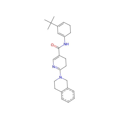 CC(C)(C)C1=CCCC(NC(=O)C2=CN=C(N3CCc4ccccc4C3)CC2)=C1